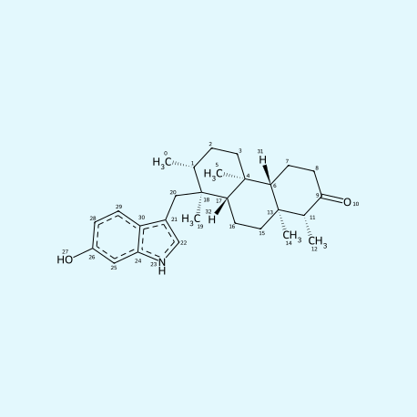 C[C@@H]1CC[C@@]2(C)[C@@H]3CCC(=O)[C@H](C)[C@@]3(C)CC[C@@H]2[C@@]1(C)Cc1c[nH]c2cc(O)ccc12